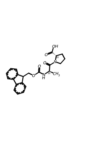 C[C@@H](NC(=O)OCC1c2ccccc2-c2ccccc21)C(=O)N1CCC[C@H]1C(=O)O